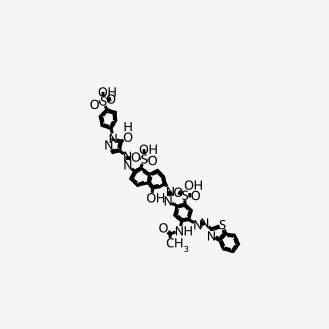 CC(=O)Nc1cc(N=Nc2ccc3c(S(=O)(=O)O)c(N=Nc4cnn(-c5ccc(S(=O)(=O)O)cc5)c4O)ccc3c2O)c(S(=O)(=O)O)cc1N=Nc1nc2ccccc2s1